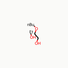 CCCCOCCO.CCO